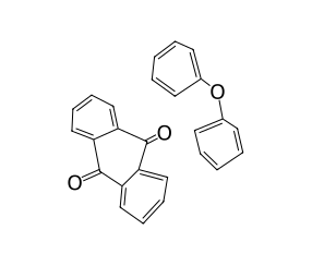 O=C1c2ccccc2C(=O)c2ccccc21.c1ccc(Oc2ccccc2)cc1